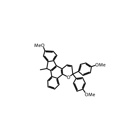 COc1ccc(C2(c3ccc(OC)cc3)C=Cc3c4c(c5ccccc5c3O2)C(C)c2cc(OC)ccc2-4)cc1